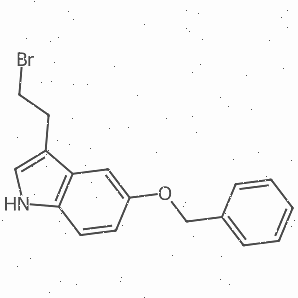 BrCCc1c[nH]c2ccc(OCc3ccccc3)cc12